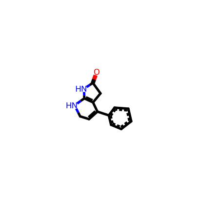 O=C1CC2=C(NCC=C2c2ccccc2)N1